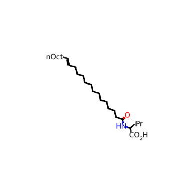 CCCCCCCCC=CCCCCCCCCCCCCC(=O)NC(C(=O)O)C(C)C